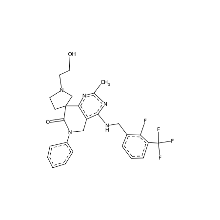 Cc1nc(NCc2cccc(C(F)(F)F)c2F)c2c(n1)C1(CCN(CCO)C1)C(=O)N(c1ccccc1)C2